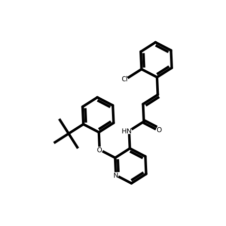 CC(C)(C)c1ccccc1Oc1ncccc1NC(=O)/C=C/c1ccccc1Cl